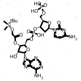 CC(C)(C)[Si](C)(C)OCC(=O)O[C@H]1[C@@H](O)[C@H](n2cnc3c(N)ncnc32)O[C@@H]1COP(=O)(O)O[C@H]1C[C@H](n2ccc(N)nc2=O)O[C@@H]1COP(=O)(O)O